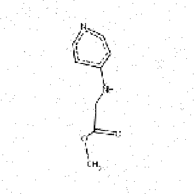 COC(=O)CNc1ccncc1